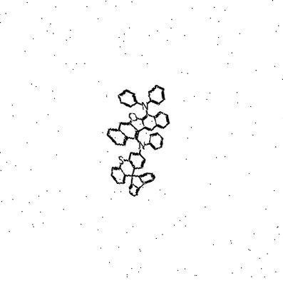 c1ccc(N(c2ccccc2)c2c3ccccc3cc3c2oc2cc4ccccc4c(N(c4ccccc4)c4ccc5c(c4)Sc4ccccc4C54c5ccccc5-c5ccccc54)c23)cc1